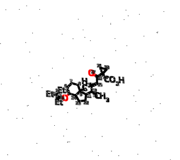 CC[Si](CC)(CC)OC1CCCC2(C)C(C(C)/C=C/C(=O)C3(C(=O)O)CC3)CCC12